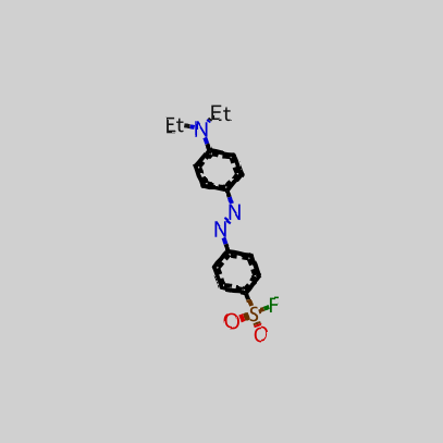 CCN(CC)c1ccc(N=Nc2ccc(S(=O)(=O)F)cc2)cc1